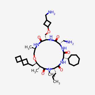 CCC[C@H]1C(=O)N[C@@H](C2CCCCCC2)C(=O)N[C@@H](CN)C(=O)N[C@@H](COC2CC(CN)C2)C(=O)N[C@H](C)CO[C@H](CC2CC3(CCC3)C2)[C@@H](C)C(=O)N1C